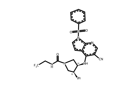 CC(C)[C@H]1CN(C(=O)NCC(F)(F)F)C[C@H]1Nc1c(C#N)cnc2c1ccn2S(=O)(=O)c1ccccc1